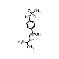 CC(C)NC[C@H](O)c1ccc(NS(C)(=O)=O)cc1